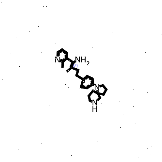 C/C(CCc1ccc(N2CCCC23CCCNC3)cc1)=C(/N)c1cccnc1C